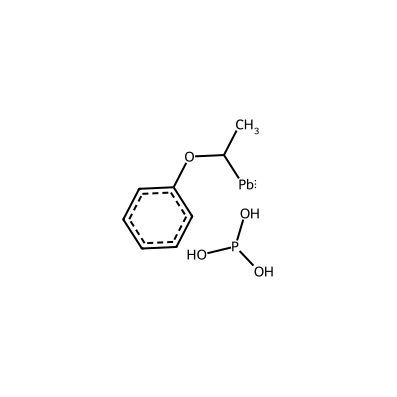 C[CH]([Pb])Oc1ccccc1.OP(O)O